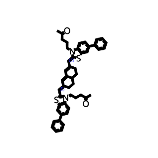 CC(=O)CCCN1/C(=C/C2=CC3=C/C(=C/c4sc5cc(-c6ccccc6)ccc5[n+]4CCCC(C)=O)CCC3CC2)Sc2cc(-c3ccccc3)ccc21